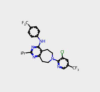 CC(C)c1nc2c(c(Nc3ccc(C(F)(F)F)cc3)n1)CCN(c1ncc(C(F)(F)F)cc1Cl)CC2